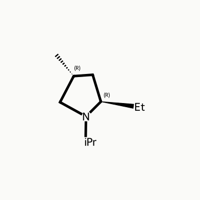 CC[C@@H]1C[C@@H](C)CN1C(C)C